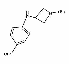 CCCCN1CC(Nc2ccc(C=O)cc2)C1